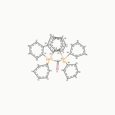 O=C([PH](c1ccccc1)(c1ccccc1)c1ccccc1)[PH](c1ccccc1)(c1ccccc1)c1ccccc1